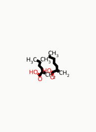 C=C(CCC(C)C)C(=O)O.C=C(CCCCC)C(=O)O